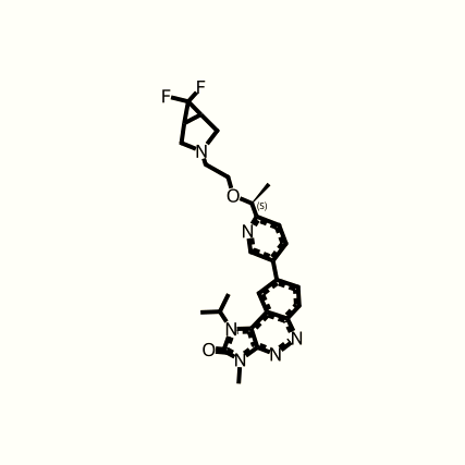 CC(C)n1c(=O)n(C)c2nnc3ccc(-c4ccc([C@H](C)OCCN5CC6C(C5)C6(F)F)nc4)cc3c21